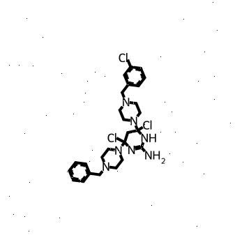 NC1=NC(Cl)(N2CCN(Cc3ccccc3)CC2)CC(Cl)(N2CCN(Cc3cccc(Cl)c3)CC2)N1